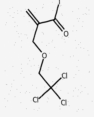 C=C(COCC(Cl)(Cl)Cl)C(=O)I